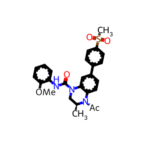 COc1ccccc1NC(=O)N1C[C@H](C)N(C(C)=O)c2ccc(-c3ccc(S(C)(=O)=O)cc3)cc21